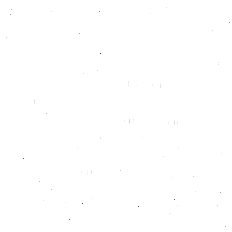 Cc1cc(C)c(C(C)(C)C(C)C(=O)O)c(OP(=O)(O)O)c1